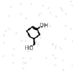 OCC1CCC=C(O)C1